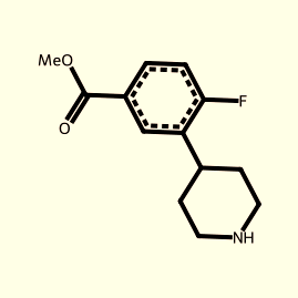 COC(=O)c1ccc(F)c(C2CCNCC2)c1